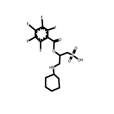 O=C(OC(CNC1CCCCC1)CS(=O)(=O)O)c1c(F)c(F)c(F)c(F)c1F